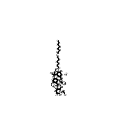 CCCCCCCCCCCCCCOc1ccc(COC(=O)N(Cc2cccc[n+]2CC)C(=O)c2ccccc2OC)cc1C(C)(C)C.[I-]